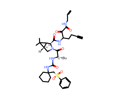 C#CCCC(NC(=O)[C@@H]1C2[C@H](CN1C(=O)[C@@H](NC(=O)NC1(CS(=O)(=O)c3ccccc3)CCCCC1)C(C)(C)C)C2(C)C)C(=O)C(=O)NCC=C